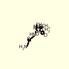 Cc1sc2c(c1C)C(c1ccc(Cl)cc1)=N[C@@H](CC(=O)NCC#Cc1cc(C#CCN)co1)c1nnc(C)n1-2